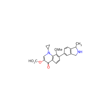 COc1c(-c2ccc3c(c2)CNC3C)ccc2c(=O)c(OC(=O)O)cn(C3CC3)c12